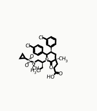 CC[C@@H](CN(C)S(=O)(=O)C1CC1)N1C(=O)[C@](C)(CCC(=O)O)C[C@H](c2cccc(Cl)c2)C1c1ccc(Cl)cc1